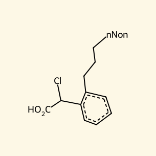 CCCCCCCCCCCCc1ccccc1C(Cl)C(=O)O